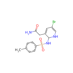 Cc1ccc(S(=O)(=O)NC2NC=C(Br)C=C2CC(N)=O)cc1